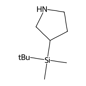 CC(C)(C)[Si](C)(C)C1CCNC1